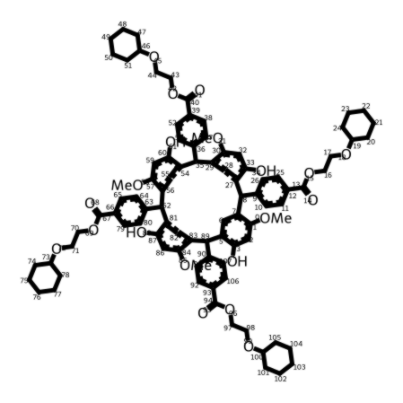 COc1cc(O)c2cc1C(c1ccc(C(=O)OCCOC3CCCCC3)cc1)c1cc(c(OC)cc1O)C(c1ccc(C(=O)OCCOC3CCCCC3)cc1)c1cc(c(OC)cc1O)C(c1ccc(C(=O)OCCOC3CCCCC3)cc1)c1cc(c(OC)cc1O)C2c1ccc(C(=O)OCCOC2CCCCC2)cc1